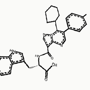 O=C(N[C@@H](Cc1c[nH]c2ccccc12)C(=O)O)c1cnn2c(C3CCCCC3)c(-c3ccc(F)cc3)cnc12